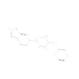 c1ccc(Oc2ncc(-c3ccn4cncc4c3)cn2)cc1